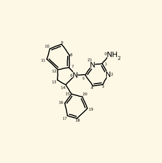 Nc1nccc(N2c3ccccc3CC2c2ccccc2)n1